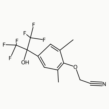 Cc1cc(C(O)(C(F)(F)F)C(F)(F)F)cc(C)c1OCC#N